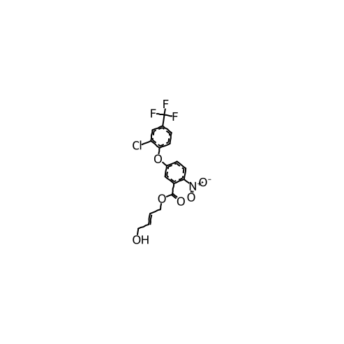 O=C(OC/C=C/CO)c1cc(Oc2ccc(C(F)(F)F)cc2Cl)ccc1[N+](=O)[O-]